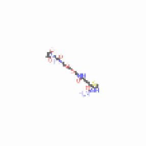 NC(=O)NC1CCSC1CCCCC(=O)NCCOCCOCCNC(=O)CCN1C(=O)C=CC1=O